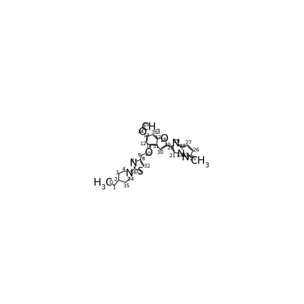 CCC1CCN(c2nc(COc3cc(OC)cc4oc(-c5cn6nc(C)ccc6n5)cc34)cs2)CC1